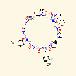 CC[C@H](C)[C@@H]1NC(=O)[C@H](CC(F)(F)F)N(C)C(=O)C[C@@H](C(=O)N2CCCC2)N(C)C(=O)[C@H](C2CCCCC2)N(C)C(=O)C2(CCCC2)NC(=O)[C@@H]2CCCN2C(=O)[C@H](CCc2cc(F)c(C(F)(F)F)c(F)c2)NC(=O)CN(C)C(=O)[C@H](Cc2ccc(C(F)(F)F)cc2)N(C)C(=O)CN(C)C(=O)CN(C)C1=O